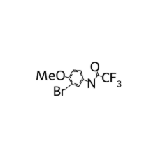 COc1ccc(N(C)C(=O)C(F)(F)F)cc1Br